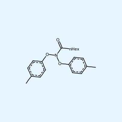 CCCCCCC(=O)N(Oc1ccc(C)cc1)Oc1ccc(C)cc1